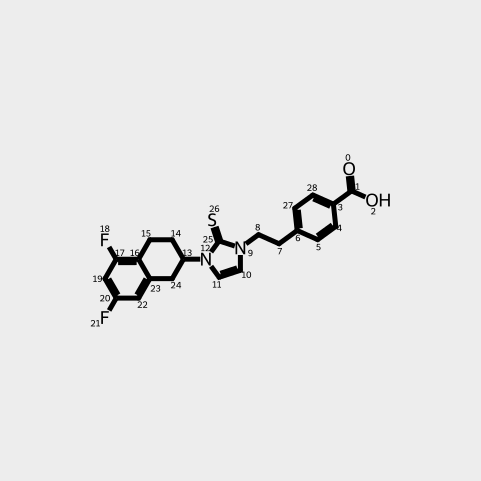 O=C(O)c1ccc(CCn2ccn(C3CCc4c(F)cc(F)cc4C3)c2=S)cc1